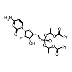 CC(OC(=O)C(C)C)OP(=O)(OC[C@H]1S[C@@H](n2ccc(N)nc2=O)[C@@H](F)[C@@H]1O)OC(C)OC(=O)C(C)C